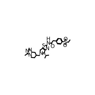 CCS(=O)(=O)c1ccc(CC(=O)Nc2nc3c(s2)CN(CC2CCn4c(C)nnc4C2)[C@H]3C(C)C)cc1